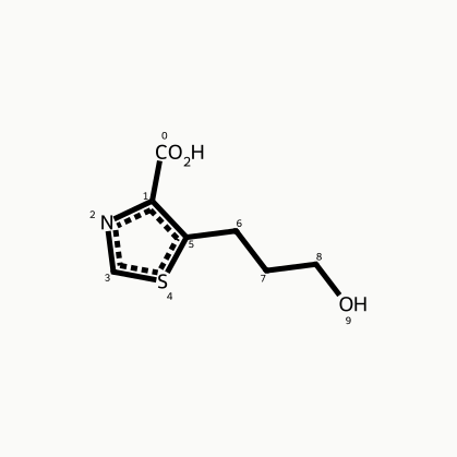 O=C(O)c1ncsc1CCCO